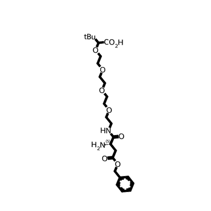 CC(C)(C)C(OCCOCCOCCOCCNC(=O)[C@@H](N)CC(=O)OCc1ccccc1)C(=O)O